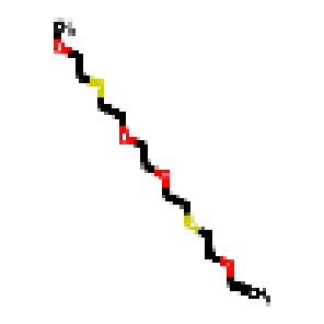 C=COCCSCCOCCOCCSCCOC